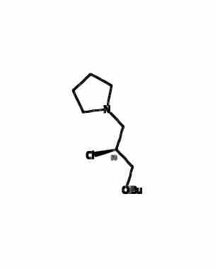 CC(C)COC[C@@H](Cl)CN1CCCC1